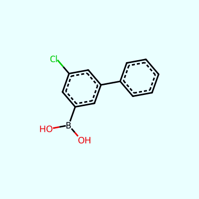 OB(O)c1cc(Cl)cc(-c2ccccc2)c1